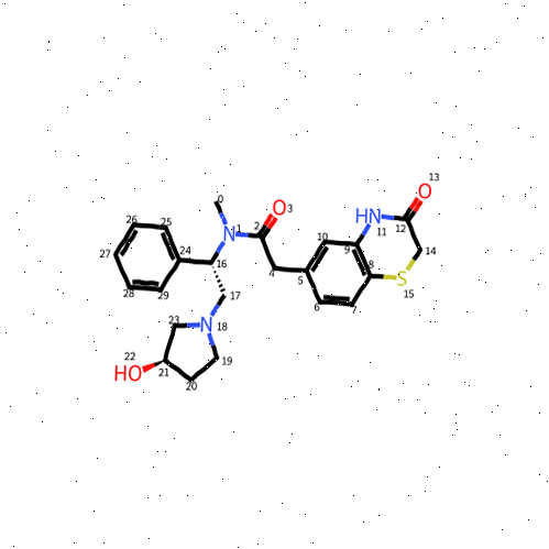 CN(C(=O)Cc1ccc2c(c1)NC(=O)CS2)[C@H](CN1CC[C@@H](O)C1)c1ccccc1